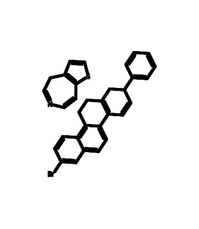 Brc1ccc2c3c(ccc2c1)C1=C(CC3)CC(c2ccccc2)C=C1.C1=Cc2sccc2CC=N1